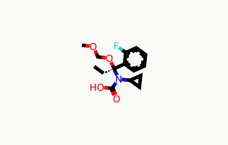 CC[C@](OCOC)(c1ccccc1F)N(C(=O)O)C1CC1